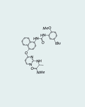 CNC(=O)C(C)Nc1nccc(Oc2ccc(NC(=O)Nc3cc(C(C)(C)C)ccc3OC)c3ccccc23)n1